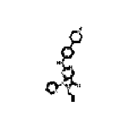 C=CCn1c(=O)c2cnc(Nc3ccc(C4CCN(C)CC4)cc3)nc2n1-c1ccccn1